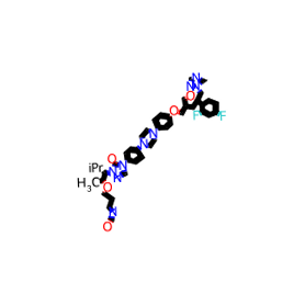 CC(C)C(C(C)OCCCN=C=O)n1ncn(-c2ccc(N3CCN(c4ccc(OCC5COC(Cn6cncn6)(C6CC=C(F)C=C6F)C5)cc4)CC3)cc2)c1=O